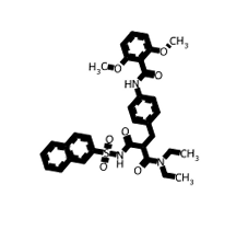 CCN(CC)C(=O)C(Cc1ccc(NC(=O)c2c(OC)cccc2OC)cc1)C(=O)NS(=O)(=O)c1ccc2ccccc2c1